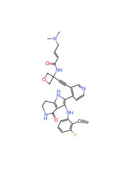 COc1c(F)cccc1Nc1c(-c2ccncc2C#CC2(NC(=O)/C=C/CN(C)C)COC2)[nH]c2c1C(=O)NCC2